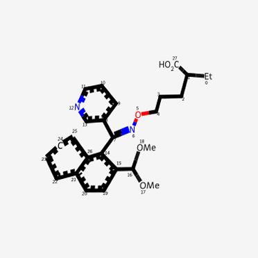 CCC(CCCON=C(c1cccnc1)c1c(C(OC)OC)ccc2ccccc12)C(=O)O